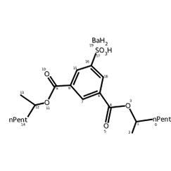 CCCCCC(C)OC(=O)c1cc(C(=O)OC(C)CCCCC)cc(S(=O)(=O)O)c1.[BaH2]